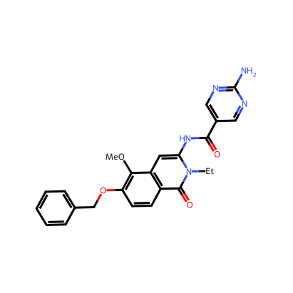 CCn1c(NC(=O)c2cnc(N)nc2)cc2c(OC)c(OCc3ccccc3)ccc2c1=O